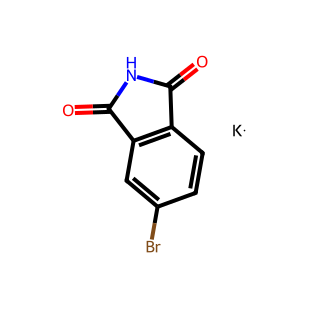 O=C1NC(=O)c2cc(Br)ccc21.[K]